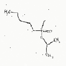 CCCCCP(=O)(F)OC(C)C